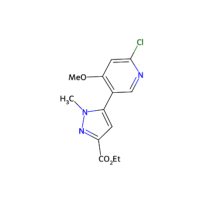 CCOC(=O)c1cc(-c2cnc(Cl)cc2OC)n(C)n1